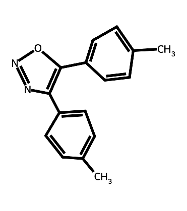 Cc1ccc(-c2nnoc2-c2ccc(C)cc2)cc1